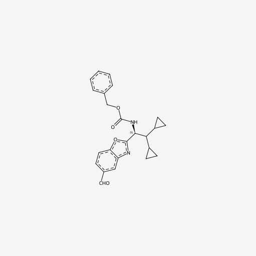 O=Cc1ccc2oc([C@@H](NC(=O)OCc3ccccc3)C(C3CC3)C3CC3)nc2c1